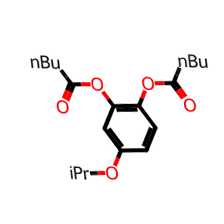 CCCCC(=O)Oc1ccc(OC(C)C)cc1OC(=O)CCCC